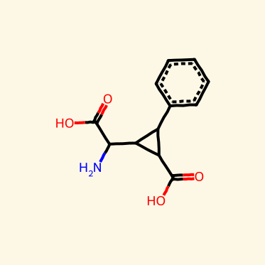 NC(C(=O)O)C1C(C(=O)O)C1c1ccccc1